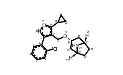 Clc1ccccc1-c1noc(C2CC2)c1CO[C@H]1C[C@H]2CC[C@@H](C1)N2